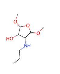 CCCNC1C(OC)OC(OC)C1O